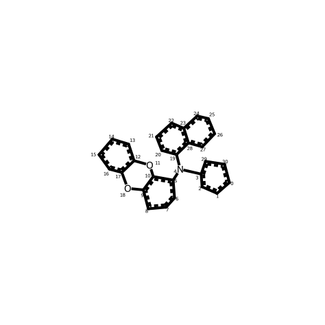 c1ccc(N(c2cccc3c2Oc2ccccc2O3)c2cccc3ccccc23)cc1